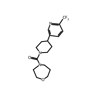 O=C(N1CCCOCC1)N1CCC(c2ccc(C(F)(F)F)nc2)CC1